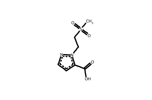 CS(=O)(=O)CCn1nccc1C(=O)O